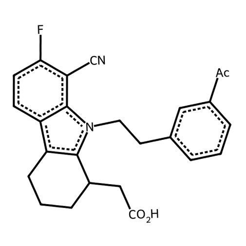 CC(=O)c1cccc(CCn2c3c(c4ccc(F)c(C#N)c42)CCCC3CC(=O)O)c1